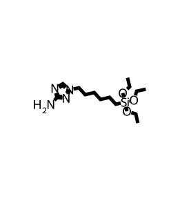 CCO[Si](CCCCCCn1cnc(N)n1)(OCC)OCC